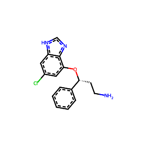 NCC[C@@H](Oc1cc(Cl)cc2[nH]cnc12)c1ccccc1